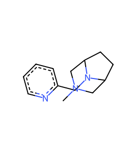 CN1CC2CCC(C1)N2Cc1ccccn1